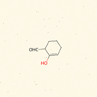 O=CC1CCCC=C1O